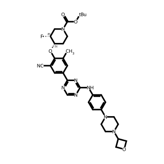 Cc1cc(-c2ncnc(Nc3ccc(N4CCN(C5COC5)CC4)cc3)n2)cc(C#N)c1O[C@H]1CCN(C(=O)OC(C)(C)C)C[C@H]1F